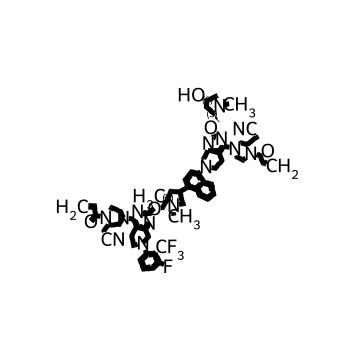 C=CC(=O)N1CCN(c2nc(OC[C@@]3(C)CC(c4ccc(N5CCc6c(nc(OC[C@@H]7C[C@H](O)CN7C)nc6N6CCN(C(=O)C=C)C(CC#N)C6)C5)c5ccccc45)CN3C)nc3c2CCN(c2cccc(F)c2C(F)(F)F)C3)CC1CC#N